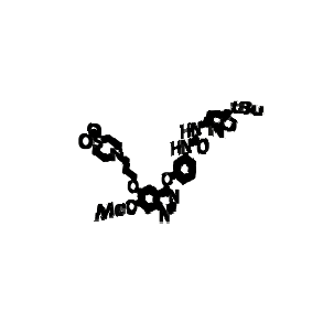 COc1cc2ncnc(Oc3cccc(NC(=O)Nc4cc(C(C)(C)C)on4)c3)c2cc1OCCCN1CCS(=O)(=O)CC1